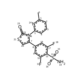 Cc1cccc(-n2c(-c3cc(F)c(S(N)(=O)=O)c(F)c3)csc2=O)n1